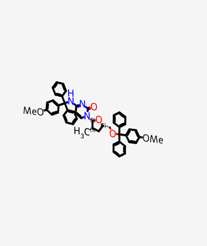 COc1ccc(C(Nc2ccn([C@@H]3O[C@H](COC(c4ccccc4)(c4ccccc4)c4ccc(OC)cc4)C[C@@H]3C)c(=O)n2)(c2ccccc2)c2ccccc2)cc1